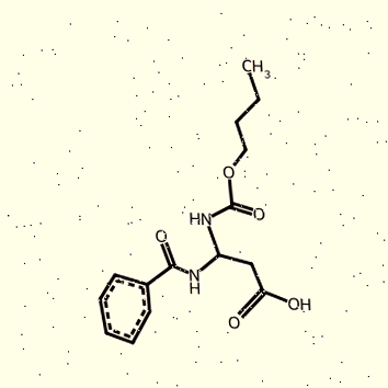 CCCCOC(=O)NC(CC(=O)O)NC(=O)c1ccccc1